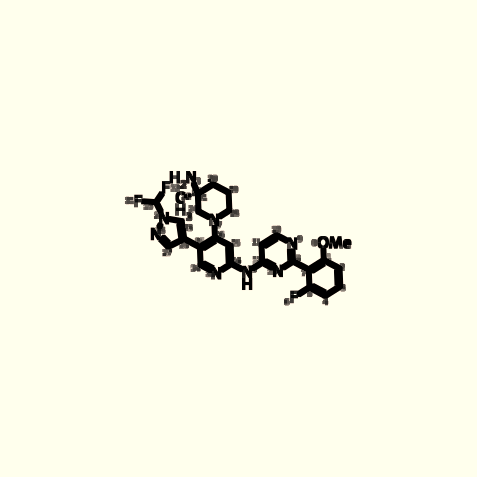 COc1cccc(F)c1-c1nccc(Nc2cc(N3CCC[C@](C)(N)C3)c(-c3cnn(C(F)F)c3)cn2)n1